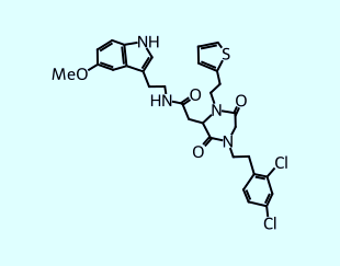 COc1ccc2[nH]cc(CCNC(=O)CC3C(=O)N(CCc4ccc(Cl)cc4Cl)CC(=O)N3CCc3cccs3)c2c1